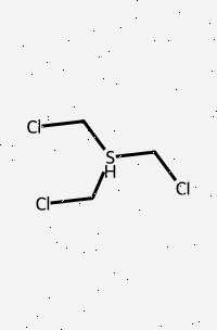 ClC[SH](CCl)CCl